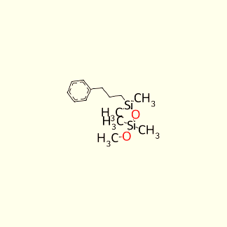 CO[Si](C)(C)O[Si](C)(C)CCCc1ccccc1